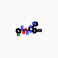 N#Cc1ccc2c(c1)C(c1ccccn1)=NCC(NOC(=O)Nc1cccc(Cl)c1)=N2